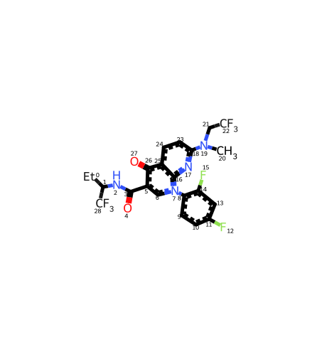 CCC(NC(=O)c1cn(-c2ccc(F)cc2F)c2nc(N(C)CC(F)(F)F)ccc2c1=O)C(F)(F)F